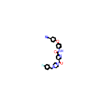 N#Cc1ccc(Oc2ccc(NC(=O)c3ccc(C(=O)N4CCN(Cc5ccc(F)cc5)CC4)cn3)cc2)cc1